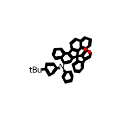 CC(C)(C)c1ccc(N(c2ccccc2)c2cc3c(c4ccccc24)-c2ccc4ccccc4c2C32c3ccccc3-c3ccccc32)cc1